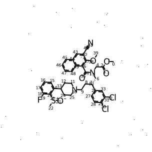 COC(=O)CN(C[C@@H](CCN1CCC(c2cccc(F)c2[S+](C)[O-])CC1)c1ccc(Cl)c(Cl)c1)C(=O)c1c(OC)c(C#N)cc2ccccc12